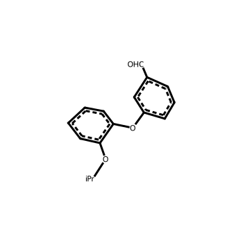 CC(C)Oc1ccccc1Oc1cccc(C=O)c1